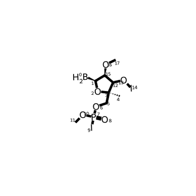 B[C@@H]1O[C@](C)(COP(=O)(I)OC)C(OI)[C@@H]1OC